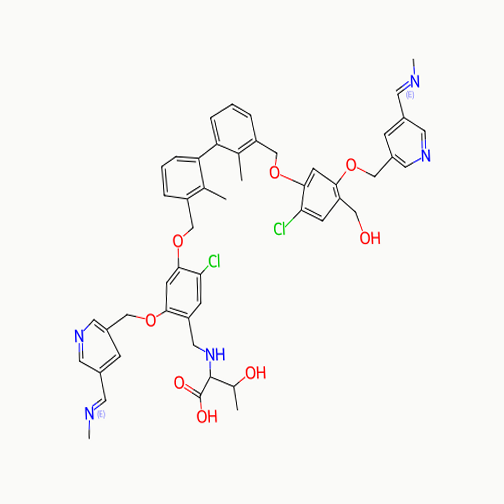 C/N=C/c1cncc(COc2cc(OCc3cccc(-c4cccc(COc5cc(OCc6cncc(/C=N/C)c6)c(CNC(C(=O)O)C(C)O)cc5Cl)c4C)c3C)c(Cl)cc2CO)c1